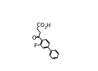 O=C(O)CCC(=O)c1ccc(-c2ccccc2)cc1F